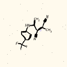 C=C(Nc1ccc(C(F)(F)F)cc1)/C(C#N)=C(/C)C#N